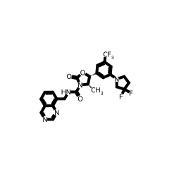 C[C@H]1[C@@H](c2cc(N3CCC(F)(F)C3)cc(C(F)(F)F)c2)OC(=O)N1C(=O)NCc1cccc2cncnc12